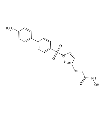 O=C(/C=C/c1ccn(S(=O)(=O)c2ccc(-c3ccc(C(=O)O)cc3)cc2)c1)NO